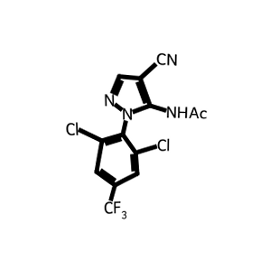 CC(=O)Nc1c(C#N)cnn1-c1c(Cl)cc(C(F)(F)F)cc1Cl